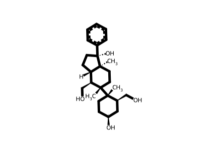 C[C@]12CC[C@](C)([C@@]3(C)CC[C@H](O)C[C@@H]3CO)[C@@H](CO)[C@@H]1CC[C@@]2(O)c1ccccc1